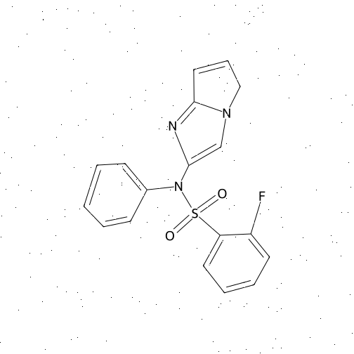 O=S(=O)(c1ccccc1F)N(c1ccccc1)c1cn2c(n1)C=CC2